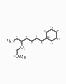 COCOC(CO)CCCCC1CCCCC1